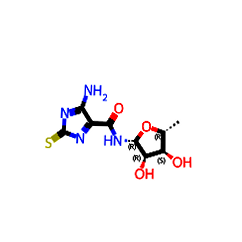 C[C@H]1O[C@@H](NC(=O)C2=NC(=S)N=C2N)[C@H](O)[C@@H]1O